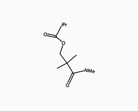 CNC(=O)C(C)(C)COC(=O)C(C)C